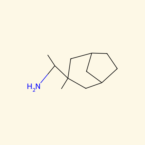 CC(N)C1(C)CC2CCC(C2)C1